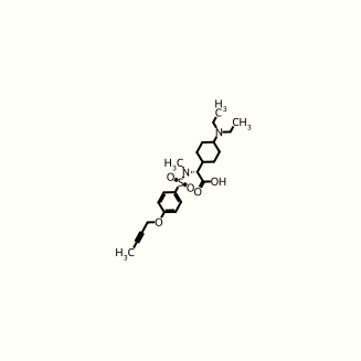 CC#CCOc1ccc(S(=O)(=O)N(C)[C@@H](C(=O)O)C2CCC(N(CC)CC)CC2)cc1